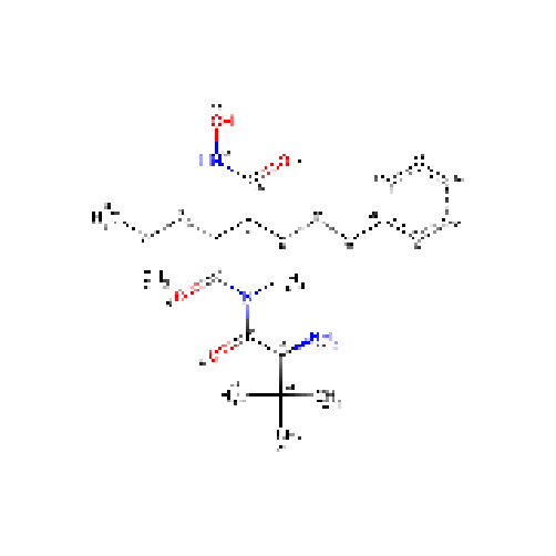 CC(C)C[C@@H](C(=O)N(C)C(=O)[C@@H](N)C(C)(C)C)C(CCCc1ccccc1)C(=O)NO